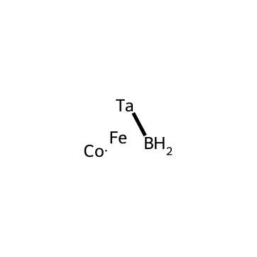 [BH2][Ta].[Co].[Fe]